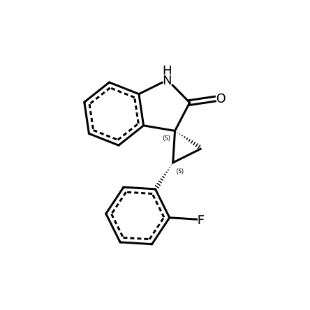 O=C1Nc2ccccc2[C@@]12C[C@@H]2c1ccccc1F